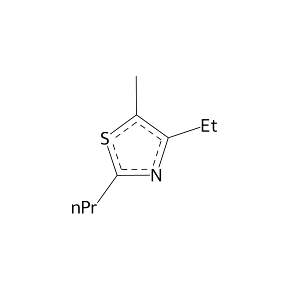 CCCc1nc(CC)c(C)s1